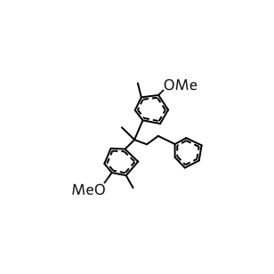 COc1ccc(C(C)(CCc2ccccc2)c2ccc(OC)c(C)c2)cc1C